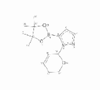 CC1(C)OB(c2ccnn2C2C=CCCO2)OC1(C)C